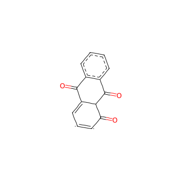 O=C1C2=C[C]=[C]C(=O)C2C(=O)c2ccccc21